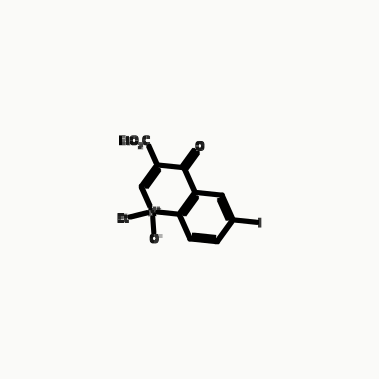 CCOC(=O)C1=C[N+]([O-])(CC)c2ccc(I)cc2C1=O